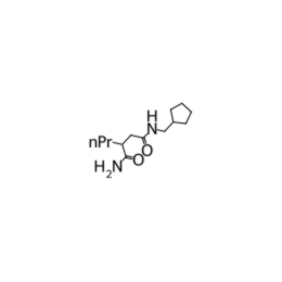 CCCC(CC(=O)NCC1CCCC1)C(N)=O